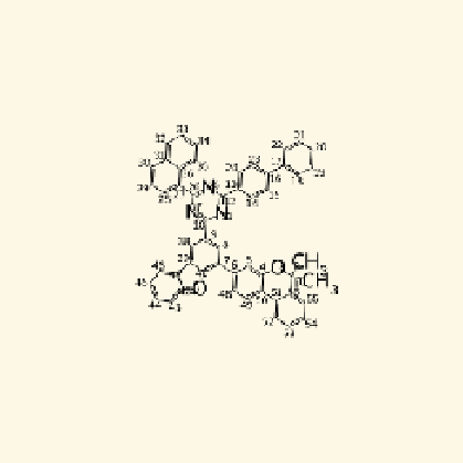 CC1(C)Oc2cc(-c3cc(-c4nc(-c5ccc(-c6ccccc6)cc5)nc(-c5cccc6ccccc56)n4)cc4c3oc3ccccc34)ccc2-c2ccccc21